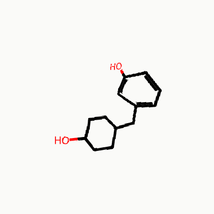 Oc1cccc(CC2CCC(O)CC2)c1